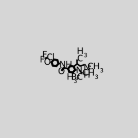 CCC1c2cc(C(=O)Nc3ccc(OC(F)(F)Cl)cc3)cc(Br)c2N(C(C)C)C1CNC